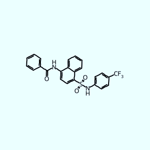 O=C(Nc1ccc(S(=O)(=O)Nc2ccc(C(F)(F)F)cc2)c2ccccc12)c1ccccc1